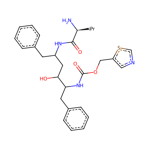 CC(C)[C@H](N)C(=O)NC(Cc1ccccc1)CC(O)C(Cc1ccccc1)NC(=O)OCc1cncs1